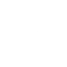 Cc1cnc(CO)n1-c1cc(Br)ccc1C(=O)c1ccccc1